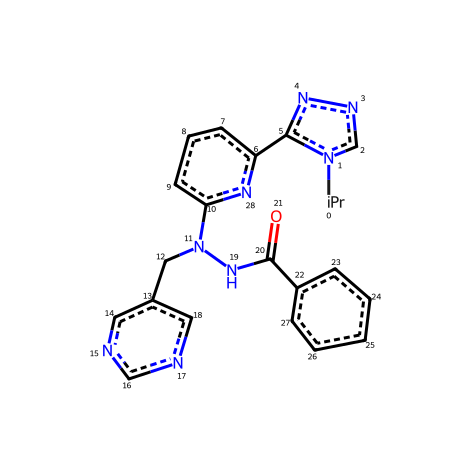 CC(C)n1cnnc1-c1cccc(N(Cc2cncnc2)NC(=O)c2ccccc2)n1